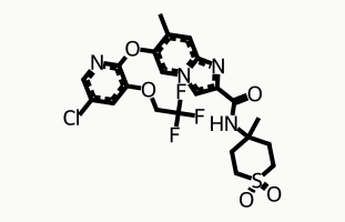 Cc1cc2nc(C(=O)NC3(C)CCS(=O)(=O)CC3)cn2cc1Oc1ncc(Cl)cc1OCC(F)(F)F